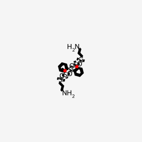 C=C[Si](C)(O[Si](C)(C)CCCN)O[Si](O[Si](C)(C)O[Si](C)(C)CCCN)(c1ccccc1)c1ccccc1